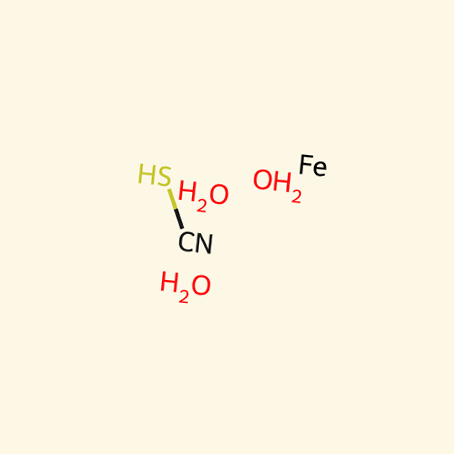 N#CS.O.O.O.[Fe]